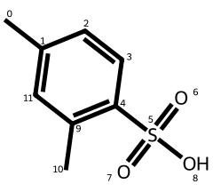 Cc1ccc(S(=O)(=O)O)c(C)c1